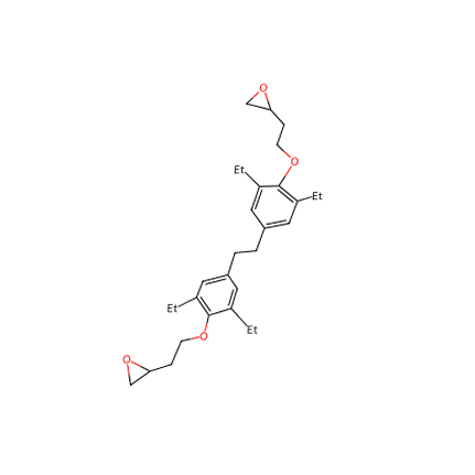 CCc1cc(CCc2cc(CC)c(OCCC3CO3)c(CC)c2)cc(CC)c1OCCC1CO1